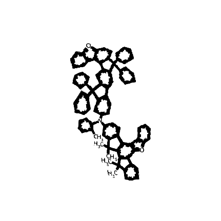 Cc1ccccc1N(c1ccc2c(c1)C(C)(C)c1c3c(c4oc5ccccc5c4c1-2)-c1ccccc1C3(C)C)c1ccc2c(c1)C(c1ccccc1)(c1ccccc1)c1cc3c(cc1-2)C(c1ccccc1)(c1ccccc1)c1ccc2oc4ccccc4c2c1-3